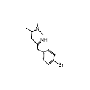 CC(CC(=N)Cc1ccc(Br)cc1)N(C)C